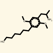 COc1cc(CC(C)N)c(OC)cc1CCCCCCO